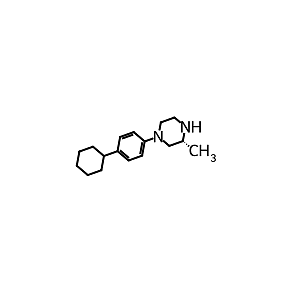 C[C@@H]1CN(c2ccc(C3CCCCC3)cc2)CCN1